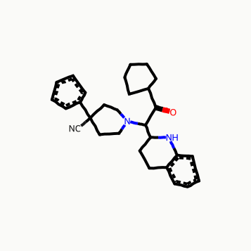 N#CC1(c2ccccc2)CCN(C(C(=O)C2CCCCC2)C2CCc3ccccc3N2)CC1